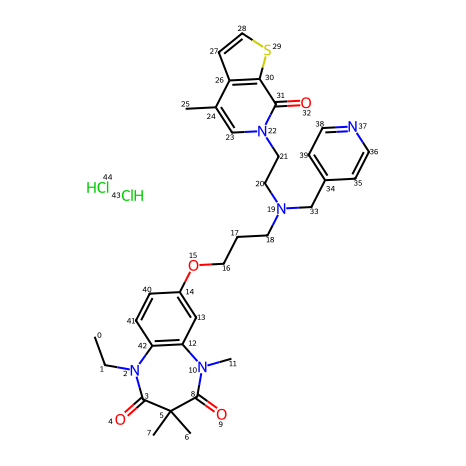 CCN1C(=O)C(C)(C)C(=O)N(C)c2cc(OCCCN(CCn3cc(C)c4ccsc4c3=O)Cc3ccncc3)ccc21.Cl.Cl